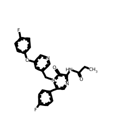 CCC(=O)Nc1ncc(-c2ccc(F)cc2)n(Cc2cncc(Oc3ccc(F)cc3)c2)c1=O